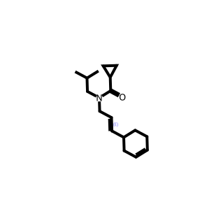 CC(C)CN(C/C=C/C1CC=CCC1)C(=O)C1CC1